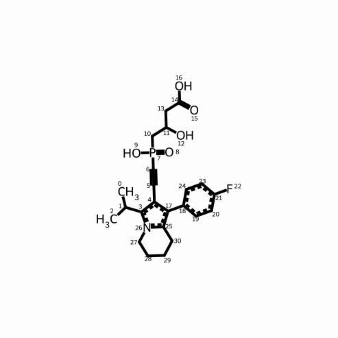 CC(C)c1c(C#CP(=O)(O)CC(O)CC(=O)O)c(-c2ccc(F)cc2)c2n1CCCC2